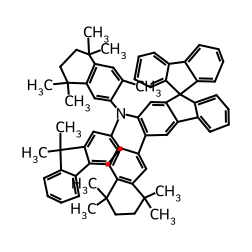 Cc1cc2c(cc1N(c1ccc3c(c1)C(C)(C)c1ccccc1-3)c1cc3c(cc1-c1ccc4c(c1)C(C)(C)CCC4(C)C)-c1ccccc1C31c3ccccc3-c3ccccc31)C(C)(C)CCC2(C)C